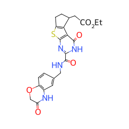 CCOC(=O)CC1CCc2sc3nc(C(=O)NCc4ccc5c(c4)NC(=O)CO5)[nH]c(=O)c3c21